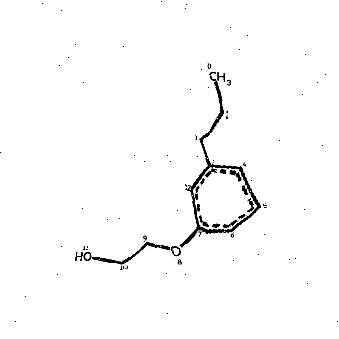 CCCc1cccc(OCCO)c1